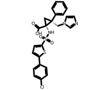 O=C(O)[C@@]1(NS(=O)(=O)c2ccc(-c3ccc(Cl)cc3)s2)C[C@@]1(Cn1ccnc1)c1ccccc1